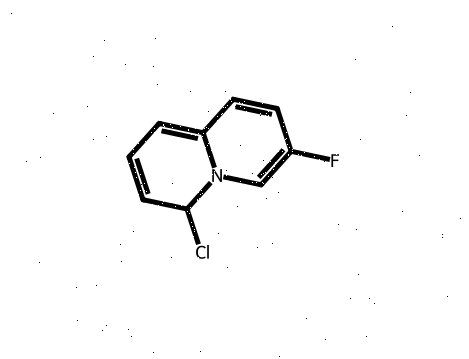 FC1=CN2C(=CC=CC2Cl)C=C1